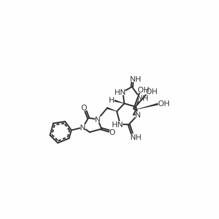 N=C1N[C@H]2[C@H](CN3C(=O)CN(c4ccccc4)C3=O)NC(=N)N3C[C@H](O)C(O)(O)[C@]23N1